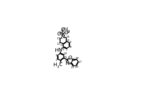 Cc1ccc(Nc2cccc3c2CCN(S(C)(=O)=O)C3)cc1-c1nc2ccccc2o1